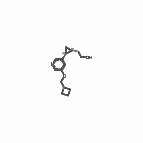 OCC[C@H]1C[C@@H]1c1cncc(OCN2CCC2)c1